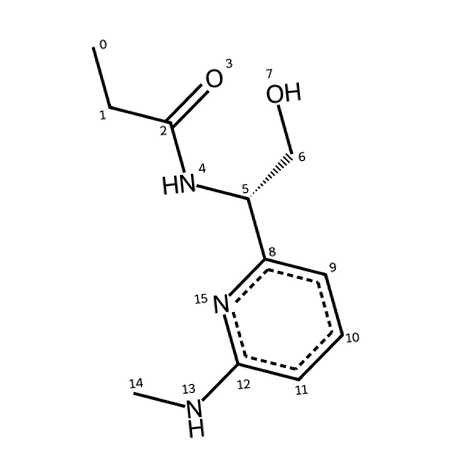 CCC(=O)N[C@H](CO)c1cccc(NC)n1